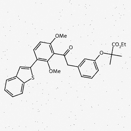 CCOC(=O)C(C)(C)Oc1cccc(CC(=O)c2c(OC)ccc(-c3cc4ccccc4s3)c2OC)c1